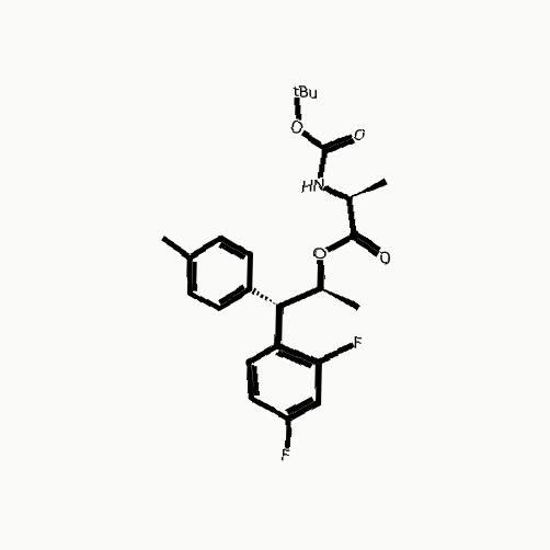 Cc1ccc([C@@H](c2ccc(F)cc2F)[C@H](C)OC(=O)[C@H](C)NC(=O)OC(C)(C)C)cc1